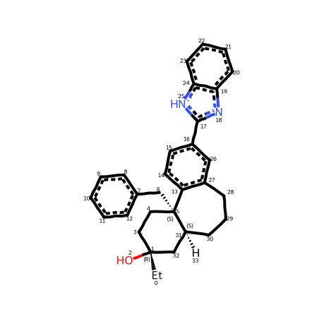 CC[C@@]1(O)CC[C@@]2(Cc3ccccc3)c3ccc(-c4nc5ccccc5[nH]4)cc3CCC[C@H]2C1